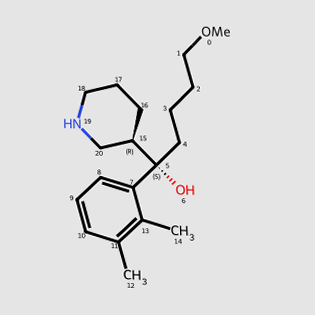 COCCCC[C@@](O)(c1cccc(C)c1C)[C@@H]1CCCNC1